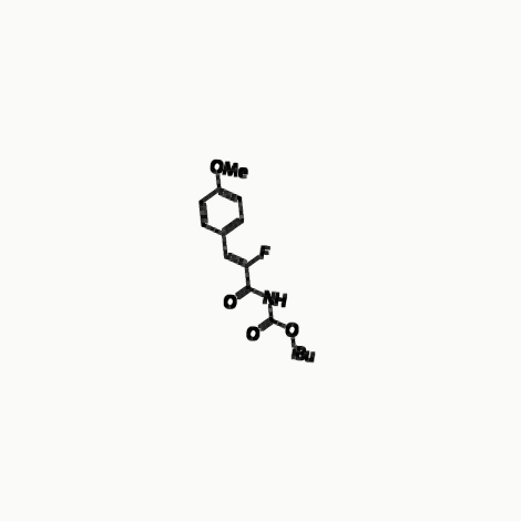 CCC(C)OC(=O)NC(=O)/C(F)=C/c1ccc(OC)cc1